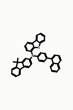 CC1(C)c2ccccc2-c2ccc(N(c3ccc(-c4cccc5ccccc45)cc3)c3cccc4c3sc3ccccc34)cc21